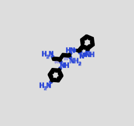 N/C=C(\C=C(/N)Nc1n[nH]c2ccccc12)Nc1ccc(N)cc1